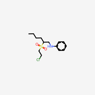 CCCCC(CNc1ccccc1)S(=O)(=O)CCCl